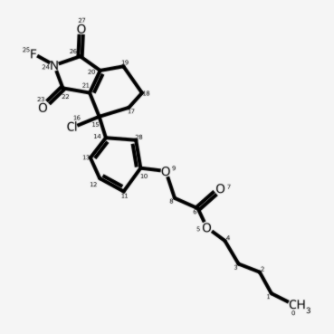 CCCCCOC(=O)COc1cccc(C2(Cl)CCCC3=C2C(=O)N(F)C3=O)c1